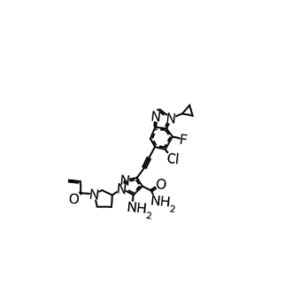 C=CC(=O)N1CCC(n2nc(C#Cc3cc4ncn(C5CC5)c4c(F)c3Cl)c(C(N)=O)c2N)C1